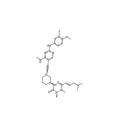 CNc1nc(Nc2ccc(OC)c(F)c2)ncc1C#C[C@@H]1CCC[C@H](NC(=O)[C@H](C)N(C)C(=O)/C=C/CN(C)C)C1